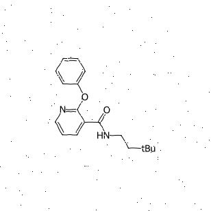 CC(C)(C)CCNC(=O)c1cccnc1Oc1ccccc1